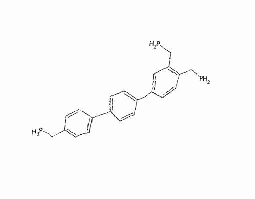 PCc1ccc(-c2ccc(-c3ccc(CP)c(CP)c3)cc2)cc1